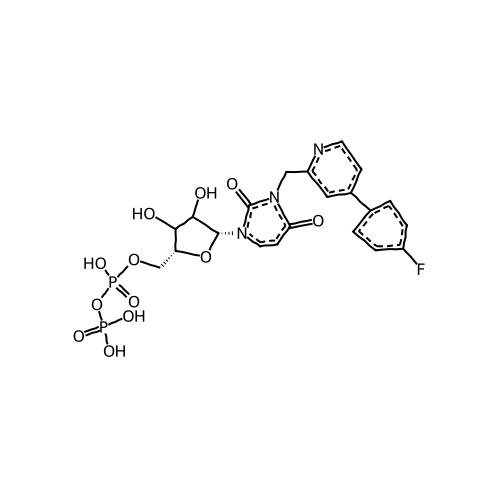 O=c1ccn([C@@H]2O[C@H](COP(=O)(O)OP(=O)(O)O)C(O)C2O)c(=O)n1Cc1cc(-c2ccc(F)cc2)ccn1